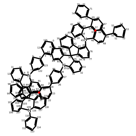 c1ccc(-c2ccc(N(c3ccccc3-c3cccc(-c4cccc(-c5ccc(N6c7ccccc7C7(c8ccccc8-c8c(N(c9ccc(-c%10ccccc%10)cc9)c9ccccc9-c9ccccc9-c9ccccc9)cccc87)c7ccccc76)cc5)c4)c3)c3cccc4c3-c3ccccc3C43c4ccccc4N(c4ccccc4)c4ccccc43)cc2)cc1